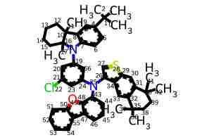 CC(C)(C)c1ccc2c(c1)C1(C)CCCCC1(C)N2c1cc(Cl)cc(N(c2csc3cc4c(cc23)C(C)(C)CCC4(C)C)c2cccc3c2oc2ccccc23)c1